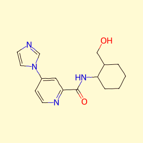 O=C(NC1CCCCC1CO)c1cc(-n2ccnc2)ccn1